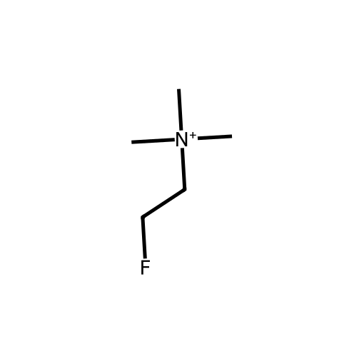 C[N+](C)(C)CCF